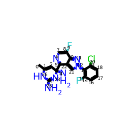 CC1=CC(N)(c2ncc(F)c3nn(-c4c(F)cccc4Cl)cc23)N=C(N)N1